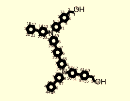 OCCc1ccc(-c2ccc(N(c3ccc(-c4ccccc4)cc3)c3ccc(-c4ccc(-c5ccc(N(c6ccc(-c7ccccc7)cc6)c6ccc(-c7ccc(CCO)cc7)cc6)cc5)cc4)cc3)cc2)cc1